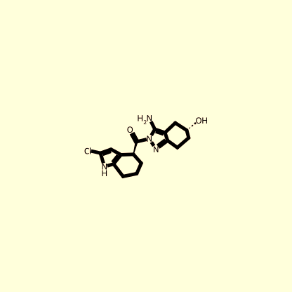 Nc1c2c(nn1C(=O)[C@H]1CCCc3[nH]c(Cl)cc31)CC[C@@H](O)C2